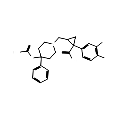 CC(=O)NC1(c2ccccc2)CCN(CC2CC2(C(=O)O)c2ccc(F)c(F)c2)CC1